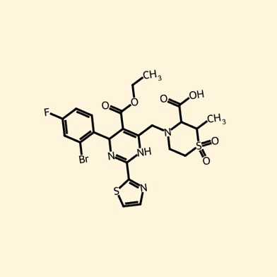 CCOC(=O)C1=C(CN2CCS(=O)(=O)C(C)C2C(=O)O)NC(c2nccs2)=NC1c1ccc(F)cc1Br